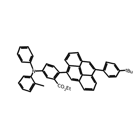 CCOC(=O)c1cc(N(c2ccccc2)c2ccccc2C)ccc1-c1cc2cccc3c(-c4ccc(C(C)(C)C)cc4)cc4cccc1c4c23